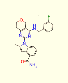 Cc1cc2c(C(N)=O)cccc2n1-c1nc2c(c(NCc3cccc(F)c3)n1)COCC2